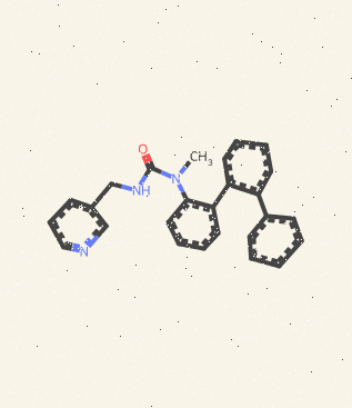 CN(C(=O)NCc1cccnc1)c1ccccc1-c1ccccc1-c1ccccc1